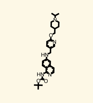 CC(C)N1CCC(COc2ccc(CNc3ccc4c(NC(=O)OC(C)(C)C)nccc4c3)cn2)CC1